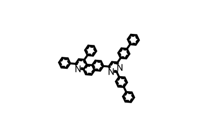 c1ccc(-c2ccc(-c3cc(-c4ccc5c(ccc6nc(-c7ccccc7)cc(-c7ccccc7)c65)c4)nc(-c4ccc(-c5ccccc5)cc4)n3)cc2)cc1